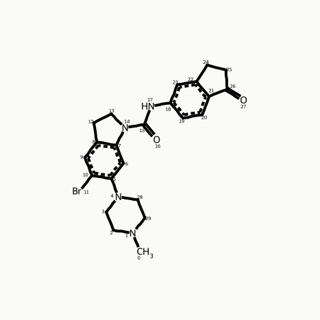 CN1CCN(c2cc3c(cc2Br)CCN3C(=O)Nc2ccc3c(c2)CCC3=O)CC1